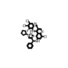 N#Cc1cnc2c(Cl)cc(NC(c3ccccc3)c3cn(C4CCCC4)nn3)cc2c1Nc1ccc(Cl)c(Cl)c1F